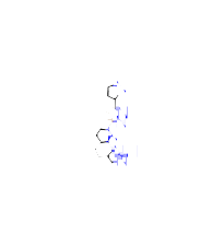 c1cncc(-c2nnc(-c3ccc4c(n3)-c3[nH]ncc3CC4)s2)c1